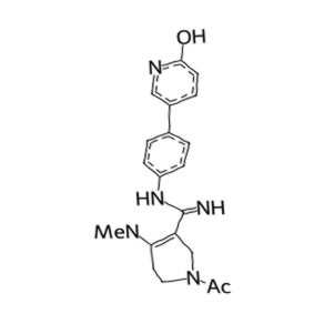 CNC1=C(C(=N)Nc2ccc(-c3ccc(O)nc3)cc2)CN(C(C)=O)CC1